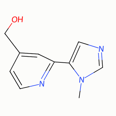 Cn1cncc1-c1cc(CO)ccn1